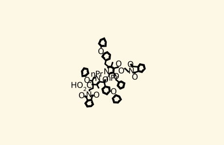 CCCC1=NC(C(=O)c2cccc(Oc3ccccc3)c2)=C(C)C(CCN2C(=O)c3ccccc3C2=O)(C(=O)O)C1Oc1ccccc1.CCCc1nc(Cc2cccc(Oc3ccccc3)c2)c(C)c(C(=O)OCCN2C(=O)c3ccccc3C2=O)c1OCc1ccccc1